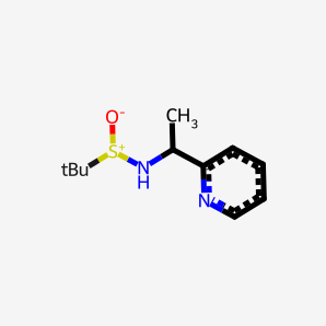 CC(N[S+]([O-])C(C)(C)C)c1ccccn1